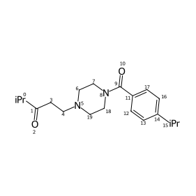 CC(C)C(=O)CCN1CCN(C(=O)c2ccc(C(C)C)cc2)CC1